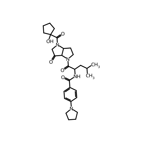 CC(C)CC(NC(=O)c1ccc(N2CCCC2)cc1)C(=O)N1CCC2C1C(=O)CN2C(=O)C1(O)CCCC1